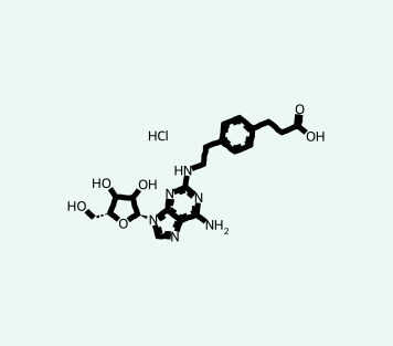 Cl.Nc1nc(NCCc2ccc(CCC(=O)O)cc2)nc2c1ncn2[C@@H]1O[C@H](CO)C(O)C1O